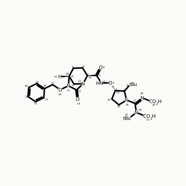 CC(C)(C)C1[C@@H](ONC(=O)[C@@H]2CC[C@@H]3CN2C(=O)N3OCc2ccccc2)CCN1C(=NC(=O)O)N(C(=O)O)C(C)(C)C